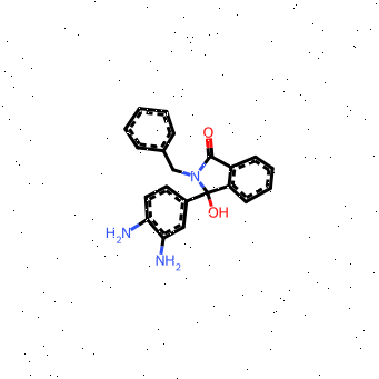 Nc1ccc(C2(O)c3ccccc3C(=O)N2Cc2ccccc2)cc1N